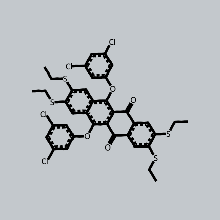 CCSc1cc2c(cc1SCC)C(=O)c1c(c(Oc3cc(Cl)cc(Cl)c3)c3cc(SCC)c(SCC)cc3c1Oc1cc(Cl)cc(Cl)c1)C2=O